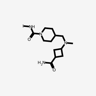 CN(CC1CCN(C(=O)NI)CC1)C1CC(C(N)=O)C1